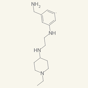 CCN1CCC(NCCNc2c[c]cc(CN)c2)CC1